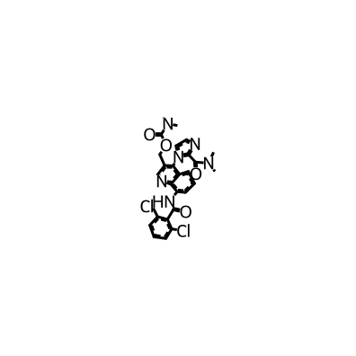 CN(C)C(=O)OCc1cnc2c(NC(=O)c3c(Cl)cccc3Cl)cccc2c1-n1ccnc1C(=O)N(C)C